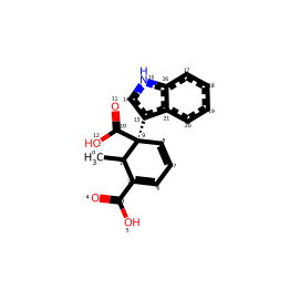 CC1C(C(=O)O)=CC=C[C@@]1(C(=O)O)c1c[nH]c2ccccc12